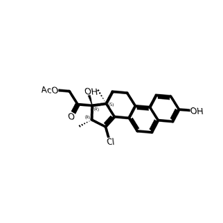 CC(=O)OCC(=O)[C@@]1(O)[C@@H](C)C(Cl)=C2c3ccc4cc(O)ccc4c3CC[C@@]21C